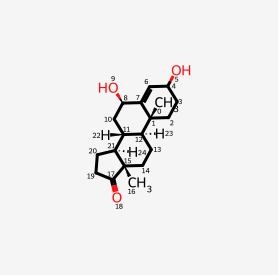 C[C@]12CCC(O)C=C1[C@H](O)C[C@@H]1[C@@H]2CC[C@]2(C)C(=O)CC[C@@H]12